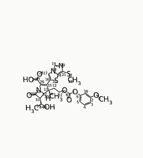 COc1cccc(OC(=O)OCC[C@@]2(C)C(c3cn4cnc(SC)c4s3)=C(C(=O)O)N3C(=O)[C@H](C(C)O)[C@@H]32)c1